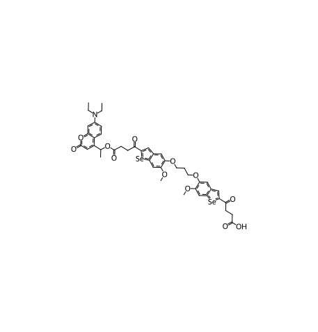 CCN(CC)c1ccc2c(C(C)OC(=O)CCC(=O)c3cc4cc(OCCCOc5cc6cc(C(=O)CCC(=O)O)[se]c6cc5OC)c(OC)cc4[se]3)cc(=O)oc2c1